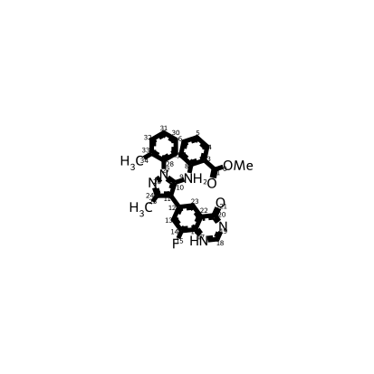 COC(=O)c1ccccc1Nc1c(-c2cc(F)c3[nH]cnc(=O)c3c2)c(C)nn1-c1ccccc1C